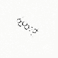 Cc1cc(S(=O)(=O)N2CC(F)(F)C[C@H]2CO)ccc1-c1ccc2[nH]nc(N)c2c1Cl